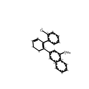 COc1cc(C2=C(c3ccccc3Cl)C=CC[CH]2)cc2ccccc12